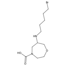 O=C(O)N1CCOCC(NCCCCCBr)C1